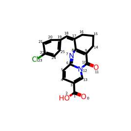 O=C(O)c1ccc2nc3c(c(=O)n2c1)CCC/C3=C/c1ccc(Cl)cc1